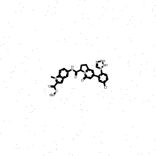 Cn1c(C(=O)OC(C)(C)C)cc2cc(NC(=O)C3CCc4cc(-c5cc(Cl)ccc5N5C=NNN5)cc(=O)n43)ccc21